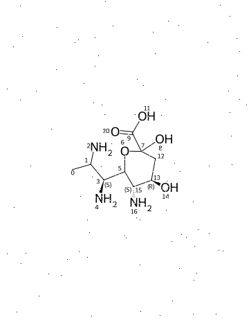 CC(N)[C@H](N)C1OC(O)(C(=O)O)C[C@@H](O)[C@@H]1N